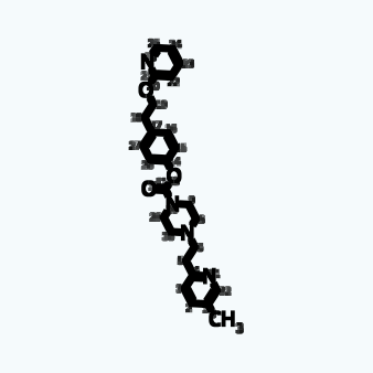 Cc1ccc(CCN2CCN(C(=O)Oc3ccc(CCOc4ccccn4)cc3)CC2)nc1